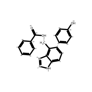 Cc1cccc2[nH]nnc12.O=C(O)c1ccccc1.Oc1ccccc1